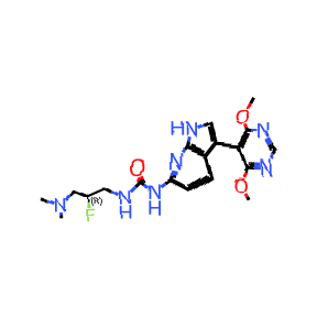 COc1ncnc(OC)c1-c1c[nH]c2nc(NC(=O)NC[C@@H](F)CN(C)C)ccc12